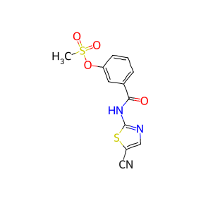 CS(=O)(=O)Oc1cccc(C(=O)Nc2ncc(C#N)s2)c1